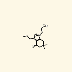 CCCc1nn(CCO)c2c1C(=O)CC(C)(C)C2